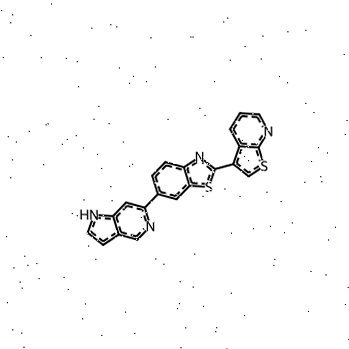 c1cnc2scc(-c3nc4ccc(-c5cc6[nH]ccc6cn5)cc4s3)c2c1